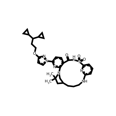 CC1(C)CC2CCCNc3cccc(n3)S(=O)(=O)NC(=O)c3ccc(-n4ccc(OCCC(C5CC5)C5CC5)n4)nc3N1C2